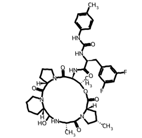 Cc1ccc(NC(=O)N[C@@H](Cc2cc(F)cc(F)c2)C(=O)N[C@@H]2C(=O)N3CCC[C@H]3C(=O)N3CCCC[C@H]3C(O)N[C@@H](C)C(=O)N3C[C@@H](C)C[C@H]3C(=O)O[C@H]2C)cc1